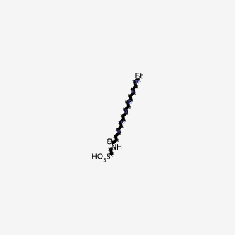 CC/C=C/C/C=C/C/C=C/C/C=C/C/C=C/C/C=C/CCC(=O)NCCS(=O)(=O)O